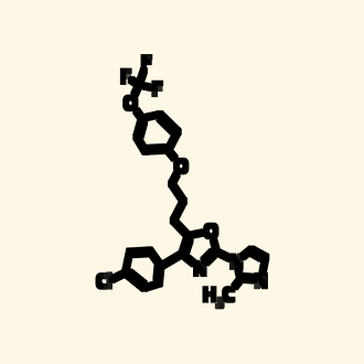 Cc1nccn1-c1nc(-c2ccc(Cl)cc2)c(CCCOc2ccc(OC(F)(F)F)cc2)o1